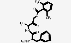 CC(=O)N[C@@H](Cc1ccccc1)C(=O)N[C@@H](C)C(=O)COC(=O)c1c(C(F)(F)F)cccc1C(F)(F)F